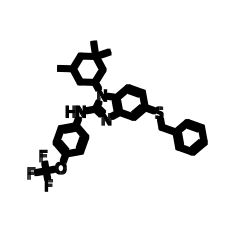 CC1CC(n2c(Nc3ccc(OC(F)(F)F)cc3)nc3cc(SCc4ccccc4)ccc32)CC(C)(C)C1